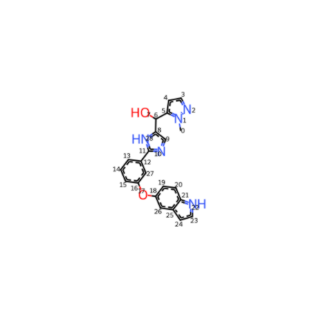 Cn1nccc1C(O)c1cnc(-c2cccc(Oc3ccc4[nH]ccc4c3)c2)[nH]1